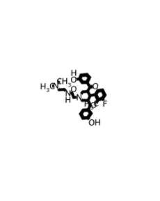 Cc1c(F)cccc1C1C(C(=O)c2cccc(O)c2)CN(CC(=O)NCCN(C)C)CC1C(=O)c1cccc(O)c1